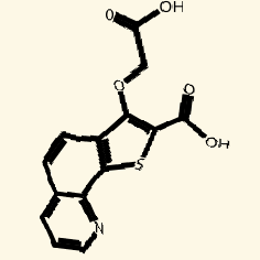 O=C(O)COc1c(C(=O)O)sc2c1ccc1cccnc12